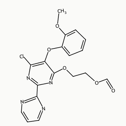 COc1ccccc1Oc1c(Cl)nc(-c2ncccn2)nc1OCCOC=O